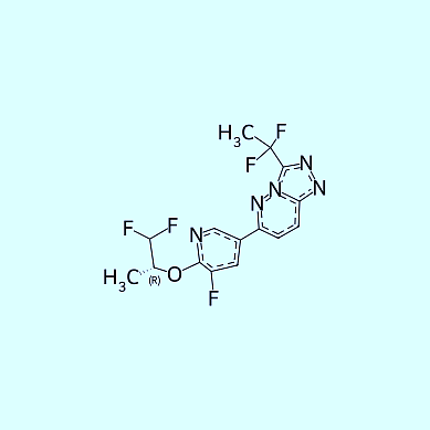 C[C@@H](Oc1ncc(-c2ccc3nnc(C(C)(F)F)n3n2)cc1F)C(F)F